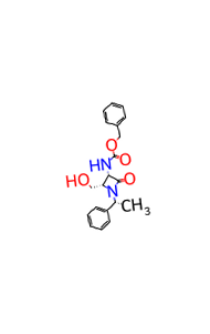 C[C@H](c1ccccc1)N1C(=O)[C@@H](NC(=O)OCc2ccccc2)[C@H]1CO